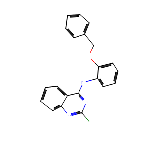 Clc1nc(Nc2ccccc2OCc2ccccc2)c2ccccc2n1